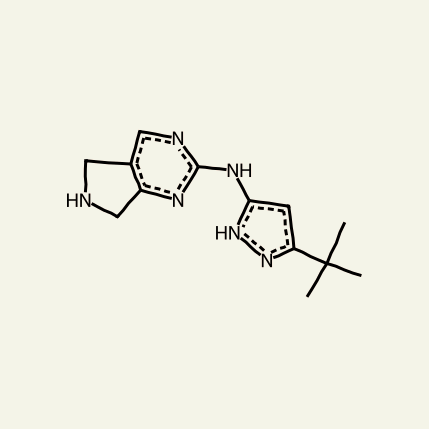 CC(C)(C)c1cc(Nc2ncc3c(n2)CNC3)[nH]n1